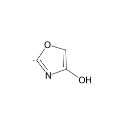 Oc1co[c]n1